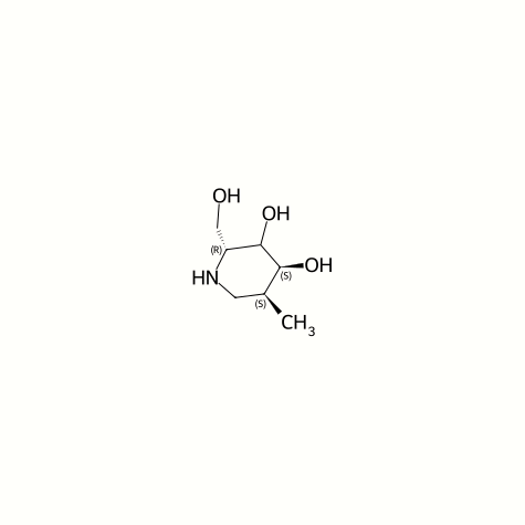 C[C@H]1CN[C@H](CO)C(O)[C@H]1O